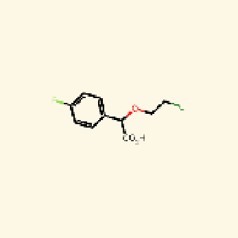 O=C(O)C(OCCCl)c1ccc(F)cc1